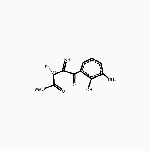 CC[C@H](C(=N)C(=O)c1cccc(N)c1O)C(=O)OC